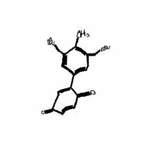 Cc1c(C(C)(C)C)cc(C2=CC(=O)C=CC2=O)cc1C(C)(C)C